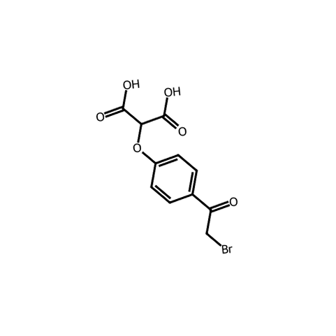 O=C(CBr)c1ccc(OC(C(=O)O)C(=O)O)cc1